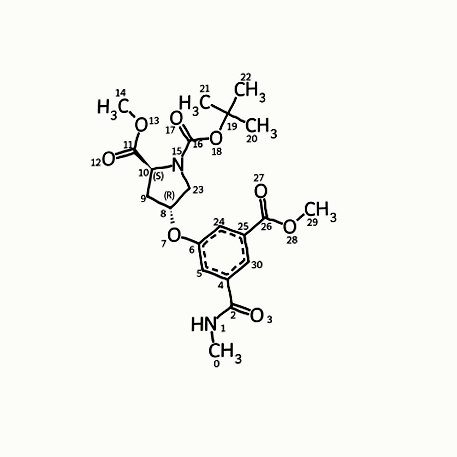 CNC(=O)c1cc(O[C@@H]2C[C@@H](C(=O)OC)N(C(=O)OC(C)(C)C)C2)cc(C(=O)OC)c1